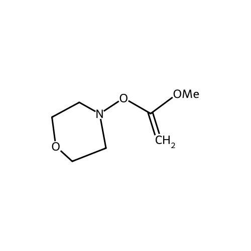 C=C(OC)ON1CCOCC1